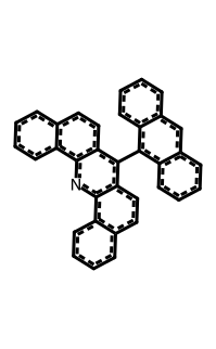 c1ccc2c(-c3c4ccc5ccccc5c4nc4c3ccc3ccccc34)c3ccccc3cc2c1